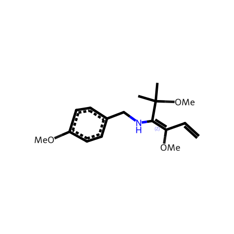 C=C/C(OC)=C(/NCc1ccc(OC)cc1)C(C)(C)OC